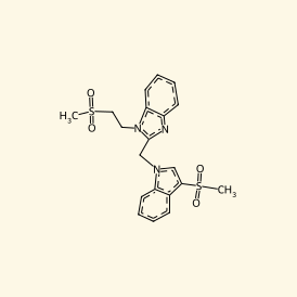 CS(=O)(=O)CCn1c(Cn2cc(S(C)(=O)=O)c3ccccc32)nc2ccccc21